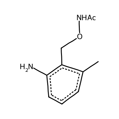 CC(=O)NOCc1c(C)cccc1N